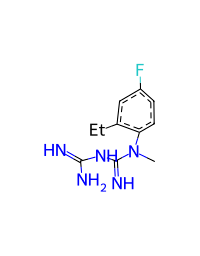 CCc1cc(F)ccc1N(C)C(=N)NC(=N)N